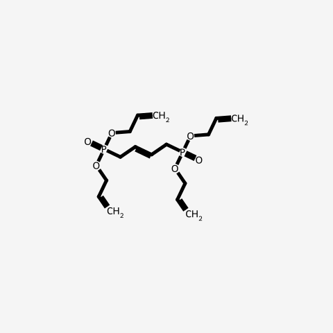 C=CCOP(=O)(CC=CCP(=O)(OCC=C)OCC=C)OCC=C